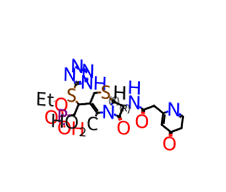 CCOP(=O)(O)CC(Sc1nnn[nH]1)C1=C(C(=O)O)N2C(=O)[C@@H](NC(=O)CC3=CC(=O)CC=N3)[C@@H]2SC1